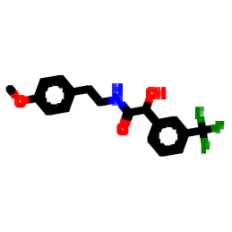 COc1ccc(CCNC(=O)C(O)c2cccc(C(F)(F)F)c2)cc1